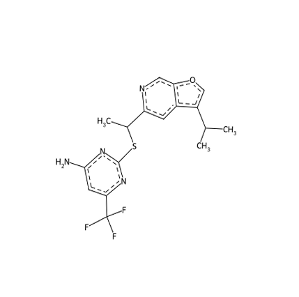 CC(C)c1coc2cnc(C(C)Sc3nc(N)cc(C(F)(F)F)n3)cc12